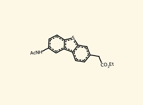 CCOC(=O)Cc1ccc2c(c1)sc1ccc(NC(C)=O)cc12